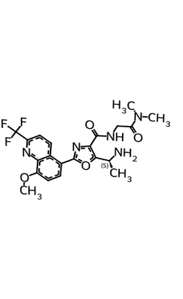 COc1ccc(-c2nc(C(=O)NCC(=O)N(C)C)c([C@H](C)N)o2)c2ccc(C(F)(F)F)nc12